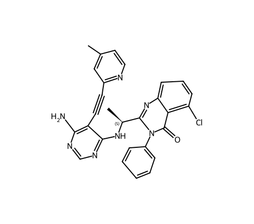 Cc1ccnc(C#Cc2c(N)ncnc2N[C@@H](C)c2nc3cccc(Cl)c3c(=O)n2-c2ccccc2)c1